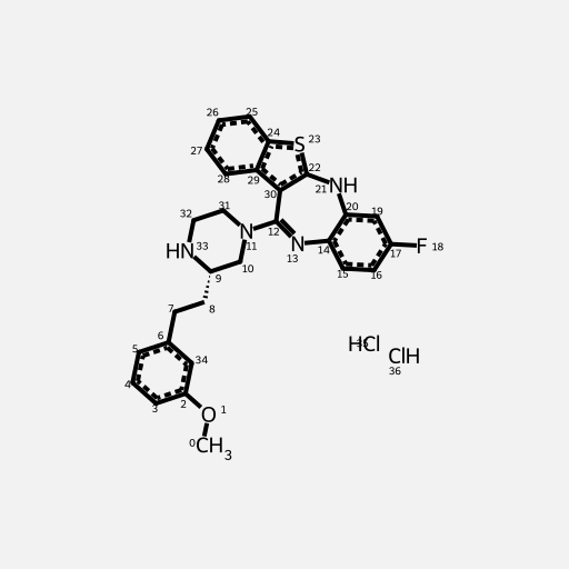 COc1cccc(CC[C@H]2CN(C3=Nc4ccc(F)cc4Nc4sc5ccccc5c43)CCN2)c1.Cl.Cl